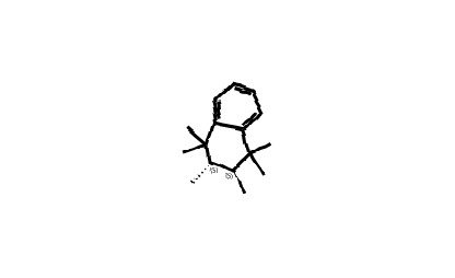 C[C@H]1[C@H](C)C(C)(C)c2ccccc2C1(C)C